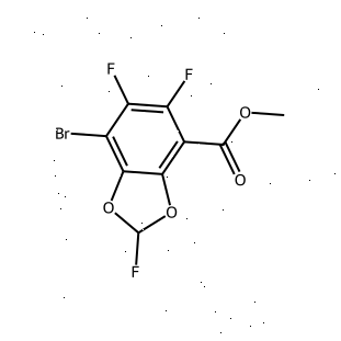 COC(=O)c1c(F)c(F)c(Br)c2c1OC(F)O2